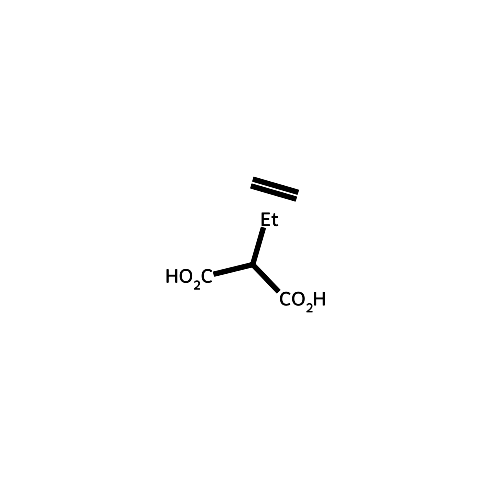 C=C.CCC(C(=O)O)C(=O)O